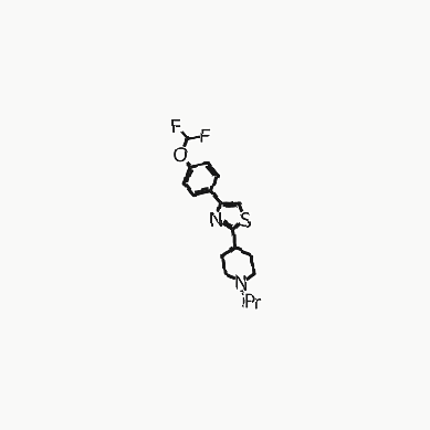 CC(C)N1CCC(c2nc(-c3ccc(OC(F)F)cc3)cs2)CC1